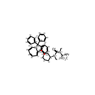 CC(C)[C@@H](C(=O)O)N(C)C(=O)N(C)[C@H]1CCCN(C(=O)C2=CC=CC=CN2C(c2ccccc2)(c2ccccc2)c2ccccc2)C1